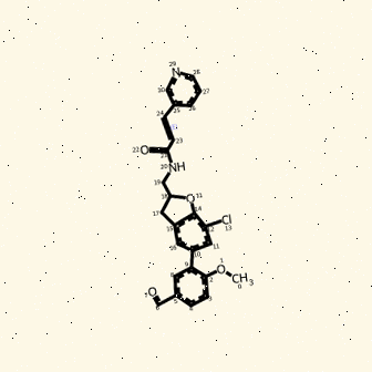 COc1ccc(C=O)cc1-c1cc(Cl)c2c(c1)CC(CNC(=O)/C=C/c1cccnc1)O2